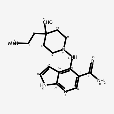 CNCCC1(C=O)CCN(Nc2c(C(N)=O)cnc3[nH]ccc23)CC1